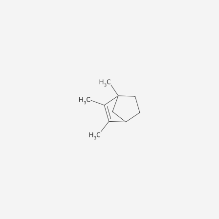 CC1=C(C)C2(C)CCC1C2